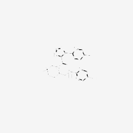 Cc1nc(C(=O)N2CC(F)(F)C[C@@H](C)C2CNc2ncc(Cl)cn2)c(-c2ccc(F)cn2)s1